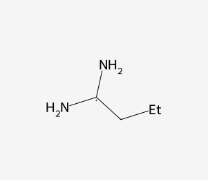 CCC[C](N)N